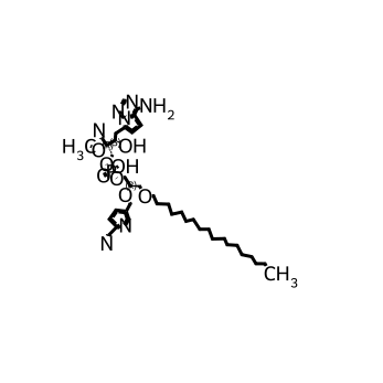 CCCCCCCCCCCCCCCCCCOC[C@H](COP(=O)(O)OC[C@@](C#N)(OC)[C@@H](O)Cc1ccc2c(N)ncnn12)OCc1ccc(C#N)nc1